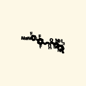 CN[C@@H]1CN(c2cc(F)c(CCNC(=O)c3sc4nc(C)ccc4c3N)cc2F)C[C@H]1F